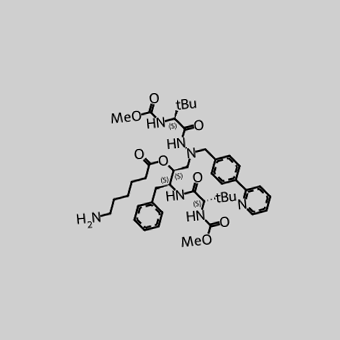 COC(=O)N[C@H](C(=O)N[C@@H](Cc1ccccc1)[C@H](CN(Cc1ccc(-c2ccccn2)cc1)NC(=O)[C@@H](NC(=O)OC)C(C)(C)C)OC(=O)CCCCCN)C(C)(C)C